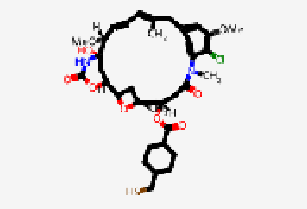 COc1cc2cc(c1Cl)N(C)C(=O)C[C@H](OC(=O)C1CCC(CS)CC1)[C@@]1(C)CC(O1)[C@@H]1C[C@@](O)(NC(=O)O1)[C@H](OC)/C=C/C=C(\C)C2